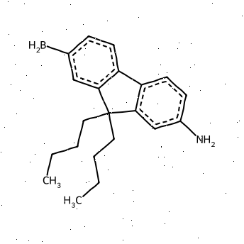 Bc1ccc2c(c1)C(CCCC)(CCCC)c1cc(N)ccc1-2